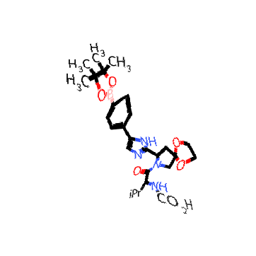 CC(C)C(NC(=O)O)C(=O)N1CC2(CC1c1ncc(-c3ccc(B4OC(C)(C)C(C)(C)O4)cc3)[nH]1)OCCO2